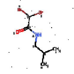 C[C](C)CNC(=O)C(Br)Br